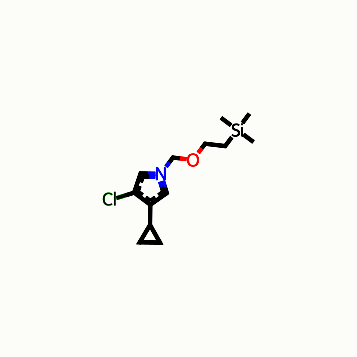 C[Si](C)(C)CCOCn1cc(Cl)c(C2CC2)c1